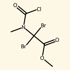 COC(=O)C(Br)(Br)N(C)C(=O)Cl